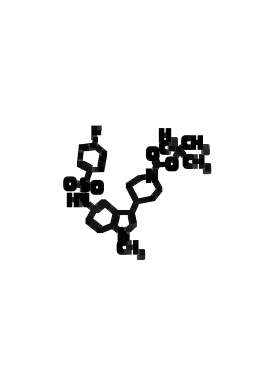 Cn1cc(C2CCN(C(=O)OC(C)(C)C)CC2)c2cc(NS(=O)(=O)c3ccc(F)cc3)ccc21